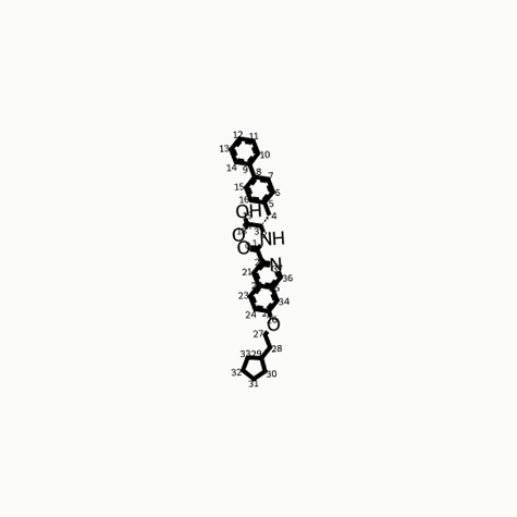 O=C(N[C@@H](Cc1ccc(-c2ccccc2)cc1)C(=O)O)c1cc2ccc(OCCC3CCCC3)cc2cn1